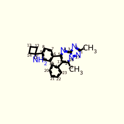 Cc1nc2nc(-c3ccc(C4(N)CCC4)cc3)c(-c3ccccc3)c(C)n2n1